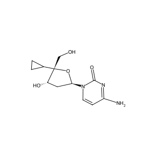 Nc1ccn([C@H]2C[C@H](O)[C@](CO)(C3CC3)O2)c(=O)n1